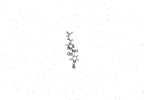 N#CN1CCC(C(=O)Nc2ncc(/C=C/C3CC3)s2)C1